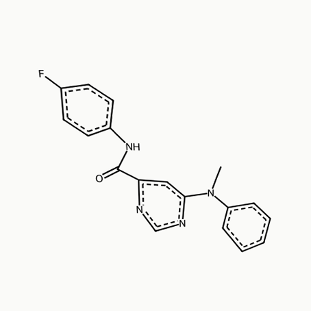 CN(c1ccccc1)c1cc(C(=O)Nc2ccc(F)cc2)ncn1